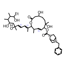 CCC(O)C(C)C(C)C(O)CC(C)(O)/C=C/C=C(\C)C1OC(=O)CC(O)CCC(C)(O)C(OC(=O)N2CC3CC2CN3Cc2ccccc2)/C=C/C1C